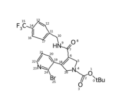 CC(C)(C)OC(=O)N1CC(C(=O)NCc2ccc(C(F)(F)F)cc2)=C(c2cccnc2Br)C1